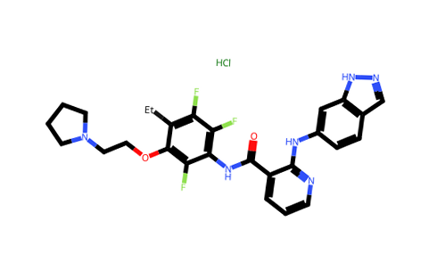 CCc1c(F)c(F)c(NC(=O)c2cccnc2Nc2ccc3cn[nH]c3c2)c(F)c1OCCN1CCCC1.Cl